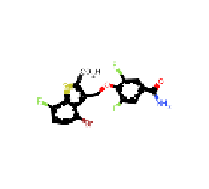 NC(=O)c1cc(F)c(OCc2c(C(=O)O)sc3c(F)ccc(Br)c23)c(F)c1